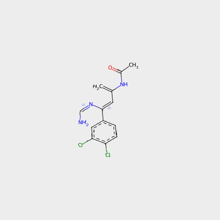 C=C(/C=C(\N=C/N)c1ccc(Cl)c(Cl)c1)NC(C)=O